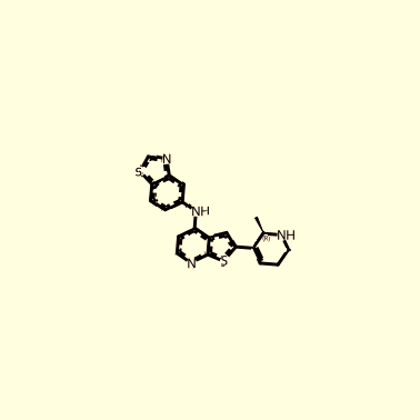 C[C@H]1NCCC=C1c1cc2c(Nc3ccc4scnc4c3)ccnc2s1